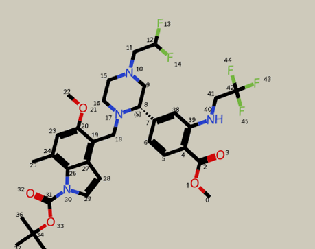 COC(=O)c1ccc([C@H]2CN(CC(F)F)CCN2Cc2c(OC)cc(C)c3c2ccn3C(=O)OC(C)(C)C)cc1NCC(F)(F)F